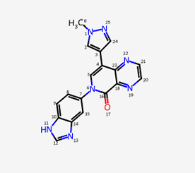 Cn1cc(-c2cn(-c3ccc4[nH]cnc4c3)c(=O)c3nccnc23)cn1